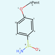 CCCCCOc1ccc([S+](N)[O-])cc1